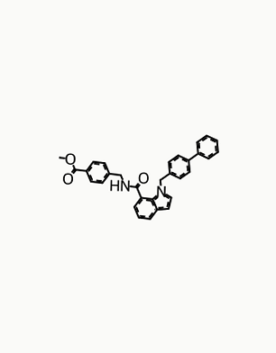 COC(=O)c1ccc(CNC(=O)c2cccc3ccn(Cc4ccc(-c5ccccc5)cc4)c23)cc1